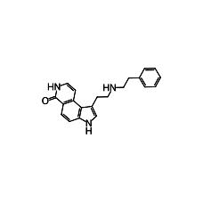 O=c1[nH]ccc2c1ccc1[nH]cc(CCNCCc3ccccc3)c12